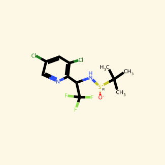 CC(C)(C)[S@+]([O-])NC(c1ncc(Cl)cc1Cl)C(F)(F)F